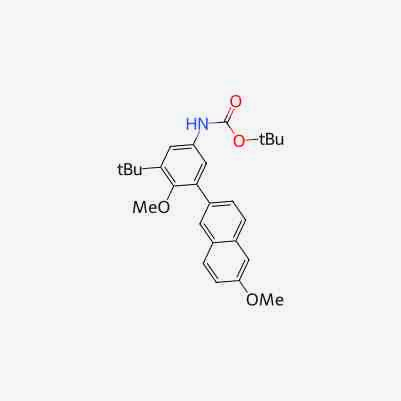 COc1ccc2cc(-c3cc(NC(=O)OC(C)(C)C)cc(C(C)(C)C)c3OC)ccc2c1